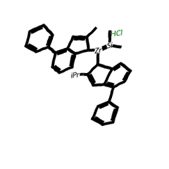 CC1=Cc2c(-c3ccccc3)cccc2[CH]1[Zr]([CH]1C(C(C)C)=Cc2c(-c3ccccc3)cccc21)=[Si](C)C.Cl